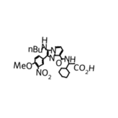 CCCCNc1c(-c2ccc(OC)c([N+](=O)[O-])c2)nc2c(C(=O)NC(CC(=O)O)C3CCCCC3)cccn12